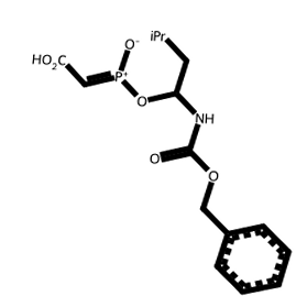 CC(C)CC(NC(=O)OCc1ccccc1)O/[P+]([O-])=C/C(=O)O